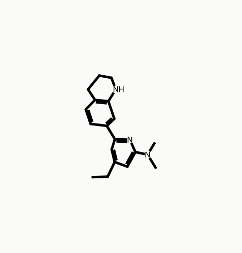 CCc1cc(-c2ccc3c(c2)NCCC3)nc(N(C)C)c1